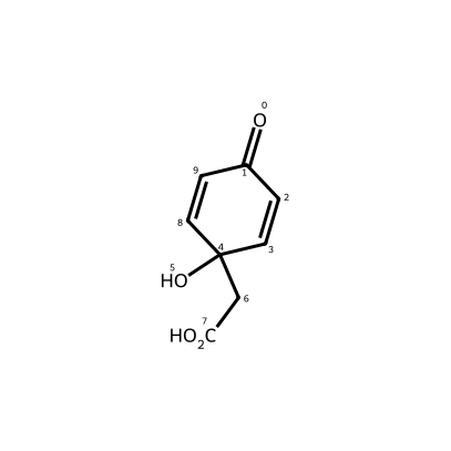 O=C1C=CC(O)(CC(=O)O)C=C1